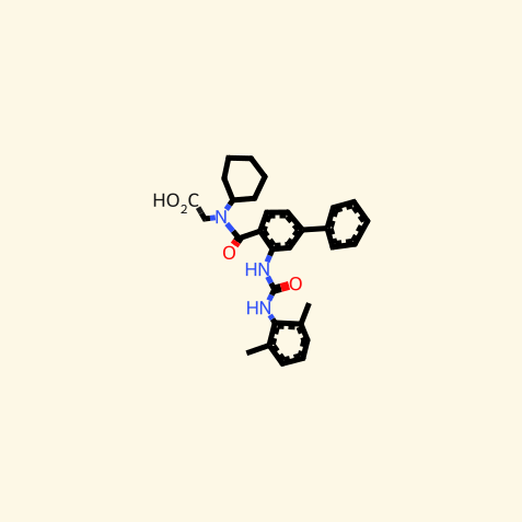 Cc1cccc(C)c1NC(=O)Nc1cc(-c2ccccc2)ccc1C(=O)N(CC(=O)O)C1CCCCC1